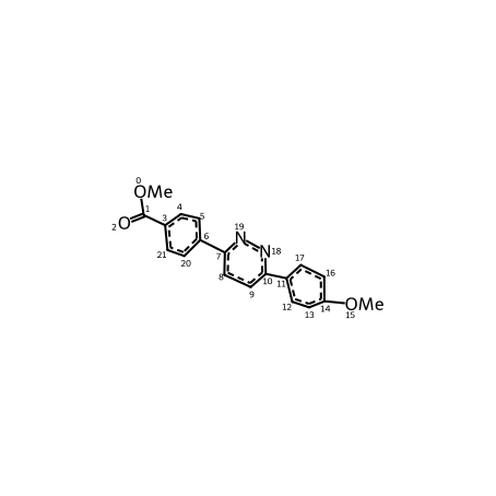 COC(=O)c1ccc(-c2ccc(-c3ccc(OC)cc3)nn2)cc1